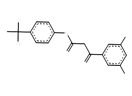 O=C(CC(=O)c1cc(Cl)cc(Cl)c1)Nc1ccc(C(Cl)(Cl)Cl)cc1